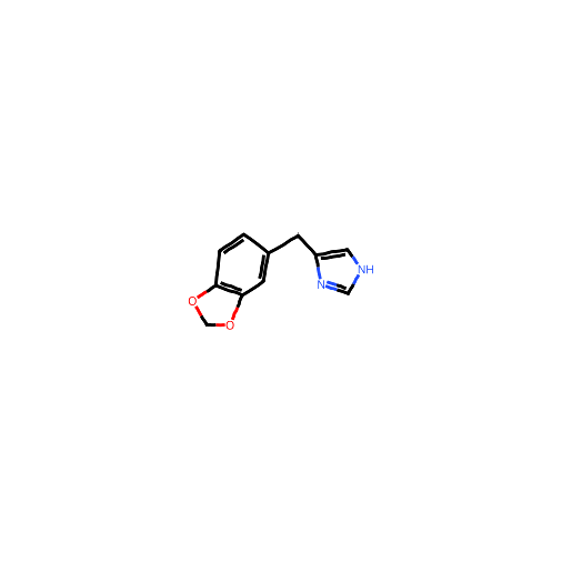 [CH](c1ccc2c(c1)OCO2)c1c[nH]cn1